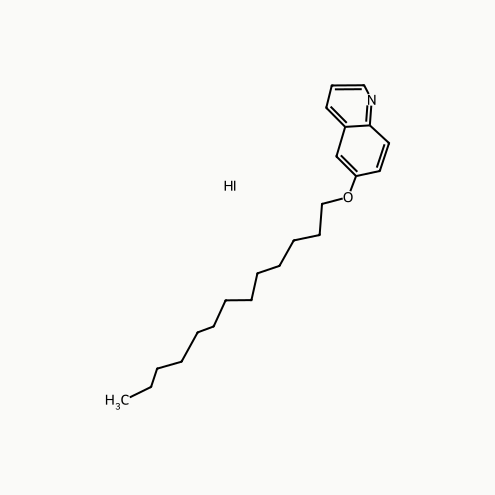 CCCCCCCCCCCCCOc1ccc2ncccc2c1.I